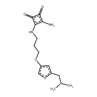 CN(C)Cc1cc(OCCCNc2c(N)c(=O)c2=O)cs1